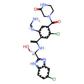 C=C(N[C@@H](CO)c1nc2cc(Cl)ccc2[nH]1)c1cc(Cl)c(C(=O)N2CCNC(=O)C2)cc1/N=C\N